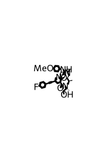 COc1ccc(NC(=O)N(C)C[C@@H]2Oc3ncc(C#Cc4ccc(F)cc4)cc3C(=O)N([C@H](C)CO)C[C@@H]2C)cc1